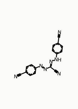 N#CC(N=Nc1ccc(C#N)cc1)=NNc1ccc(C#N)cc1